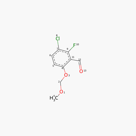 COCOc1ccc(Cl)c(F)c1C=O